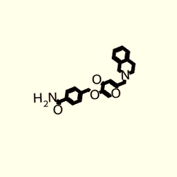 NC(=O)c1ccc(COc2coc(CN3CCc4ccccc4C3)cc2=O)cc1